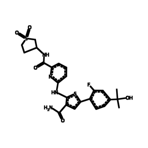 CC(C)(O)c1ccc(-c2cc(C(N)=O)c(Nc3cccc(C(=O)NC4CCS(=O)(=O)C4)n3)s2)c(F)c1